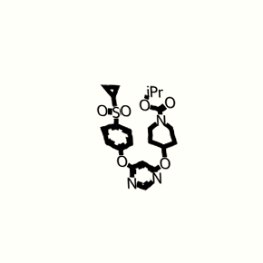 CC(C)OC(=O)N1CCC(Oc2cc(Oc3ccc(S(=O)(=O)C4CC4)cc3)ncn2)CC1